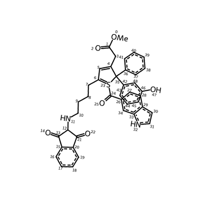 COC(=O)CC1=CC(CCCCNC2C(=O)c3ccccc3C2=O)=S(C(=O)c2ccc3cc[nH]c3c2)C1(c1ccccc1)c1cccc(O)c1